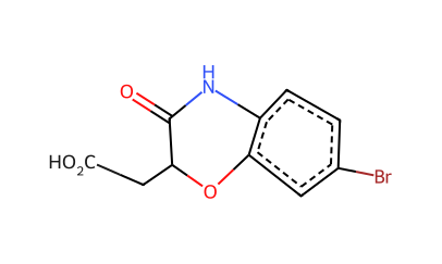 O=C(O)CC1Oc2cc(Br)ccc2NC1=O